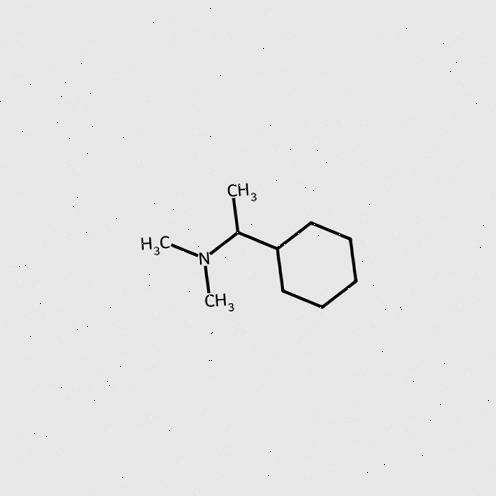 CC(C1CCCCC1)N(C)C